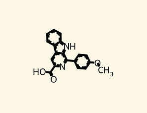 COc1ccc(-c2nc(C(=O)O)cc3c2[nH]c2ccccc23)cc1